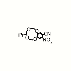 CC(C)C1COCCOc2cc(C#N)c([N+](=O)[O-])cc2OCCO1